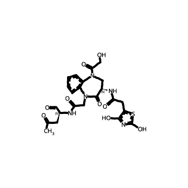 CC(=O)C[C@@H](C=O)NC(=O)CN1C(=O)[C@@H](NC(=O)Cc2sc(O)nc2O)CN(C(=O)CO)c2ccccc21